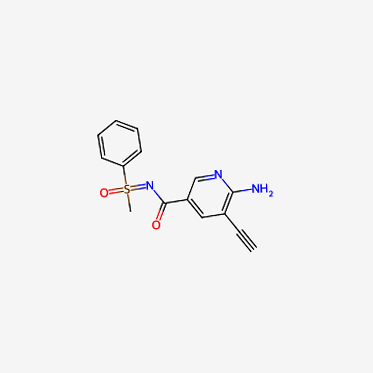 C#Cc1cc(C(=O)N=S(C)(=O)c2ccccc2)cnc1N